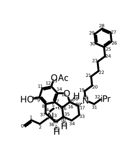 C=CCN1CC[C@]23c4c5c(O)cc(OC(C)=O)c4O[C@H]2[C@H](N(CCCCCCc2ccccc2)CC(C)C)CC[C@H]3[C@H]1C5